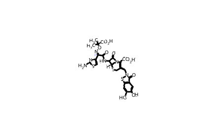 CC(C)(O/N=C(\C(=O)NC1C(=O)N2C(C(=O)O)=C(Cn3sc4cc(O)c(O)cc4c3=O)CS[C@@H]12)c1csc(N)n1)C(=O)O